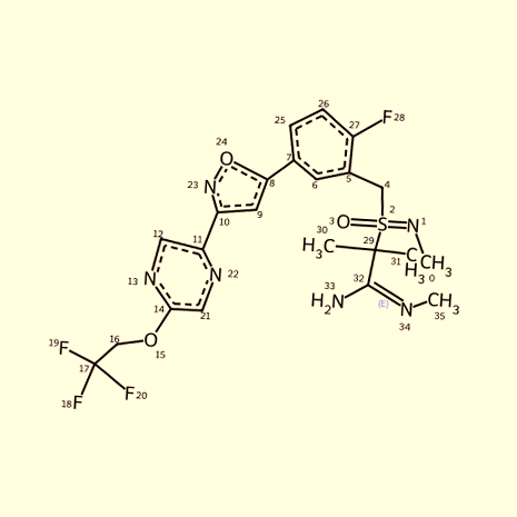 CN=S(=O)(Cc1cc(-c2cc(-c3cnc(OCC(F)(F)F)cn3)no2)ccc1F)C(C)(C)/C(N)=N\C